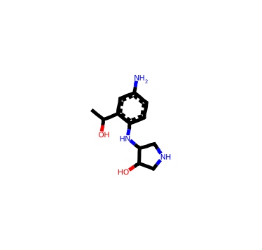 CC(O)c1cc(N)ccc1NC1CNCC1O